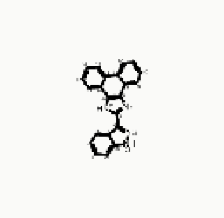 c1ccc2c(-c3nc4c5ccccc5c5ccccc5c4[nH]3)n[nH]c2c1